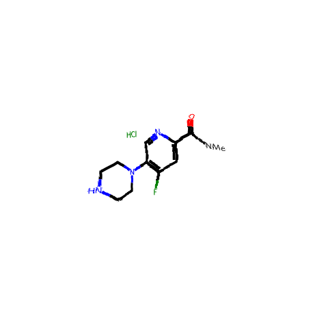 CNC(=O)c1cc(F)c(N2CCNCC2)cn1.Cl